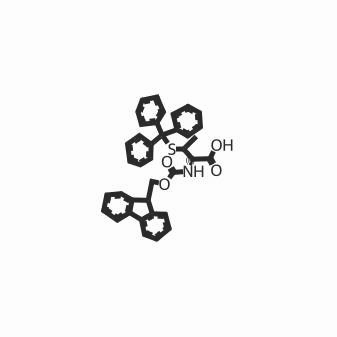 CC(SC(c1ccccc1)(c1ccccc1)c1ccccc1)[C@H](NC(=O)OCC1c2ccccc2-c2ccccc21)C(=O)O